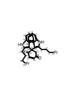 CC(C)CCCc1[nH]c2ccccc2c1C1(c2c(CCCC(C)C)[nH]c3ccccc23)CC(=O)C=CC1=O